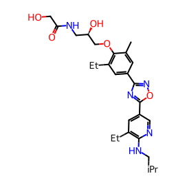 CCc1cc(-c2nc(-c3cc(C)c(OC[C@H](O)CNC(=O)CO)c(CC)c3)no2)cnc1NCC(C)C